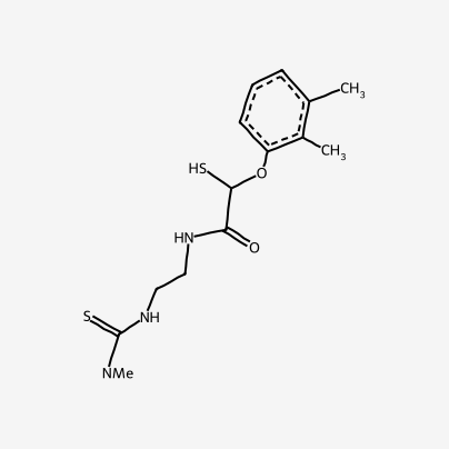 CNC(=S)NCCNC(=O)C(S)Oc1cccc(C)c1C